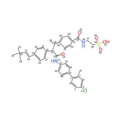 Cc1cc(Cl)ccc1-c1ccc(NC(=O)C(c2ccc(/C=C/C(C)(C)C)cc2)C(C)c2ccc(C(=O)NCCS(=O)(=O)O)cc2)cc1